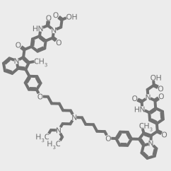 CCN(CC)CCN(CCCCCOc1ccc(-c2c(C)c(C(=O)c3ccc4c(=O)n(CC(=O)O)c(=O)[nH]c4c3)n3ccccc23)cc1)CCCCCOc1ccc(-c2c(C)c(C(=O)c3ccc4c(=O)n(CC(=O)O)c(=O)[nH]c4c3)n3ccccc23)cc1